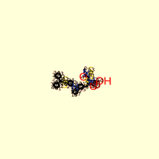 CCN1C(=O)/C(=c2\s/c(=C\c3ccc4c(c3)C3CCCC3N4c3ccc4c(c3)SC(=C(c3ccccc3)c3ccccc3)S4)c(=O)n2CC(=O)O)SC1=S